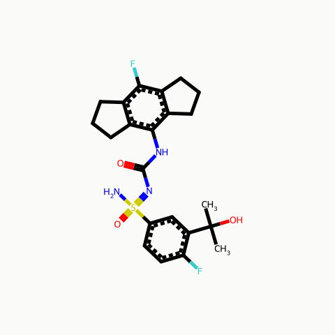 CC(C)(O)c1cc(S(N)(=O)=NC(=O)Nc2c3c(c(F)c4c2CCC4)CCC3)ccc1F